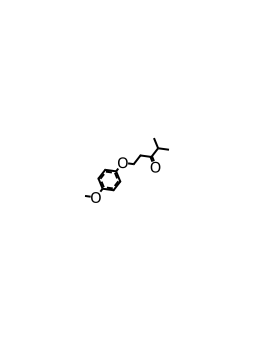 COc1ccc(OCCC(=O)C(C)C)cc1